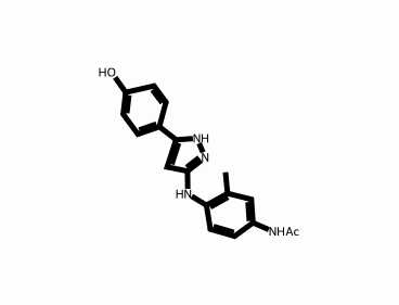 CC(=O)Nc1ccc(Nc2cc(-c3ccc(O)cc3)[nH]n2)c(C)c1